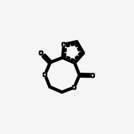 O=C1OCCOC(=O)c2occc21